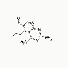 CCCc1c(C=O)cnc2nc(N)nc(N)c12